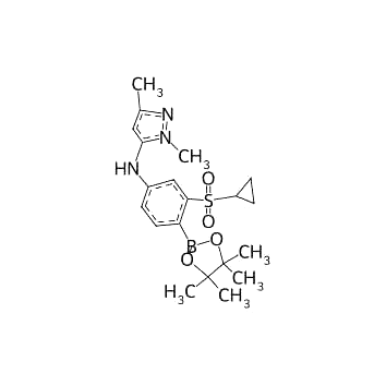 Cc1cc(Nc2ccc(B3OC(C)(C)C(C)(C)O3)c(S(=O)(=O)C3CC3)c2)n(C)n1